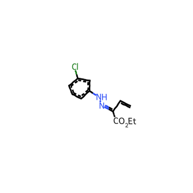 C=C/C(=N\Nc1cccc(Cl)c1)C(=O)OCC